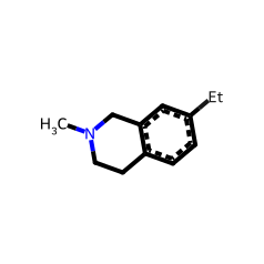 CCc1ccc2c(c1)CN(C)CC2